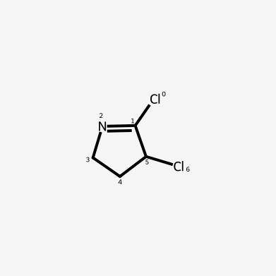 ClC1=NCCC1Cl